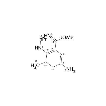 CCCNC1=C(C(=N)OC)C=C(N)CC1C